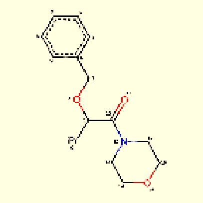 CC(C)C(OCc1ccccc1)C(=O)N1CCOCC1